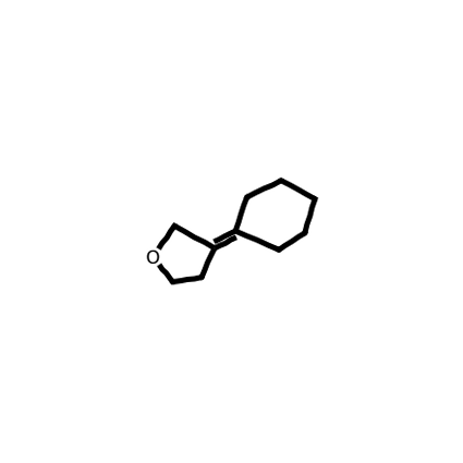 C1CCC(=C2CCOC2)CC1